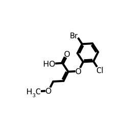 COCC=C(Oc1cc(Br)ccc1Cl)C(=O)O